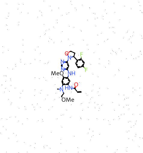 C=CC(=O)Nc1cc(Nc2cc(N3OCCC3c3ccc(F)cc3F)ncn2)c(OC)cc1N(C)CCOC